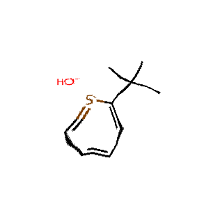 CC(C)(C)c1cccc[s+]1.[OH-]